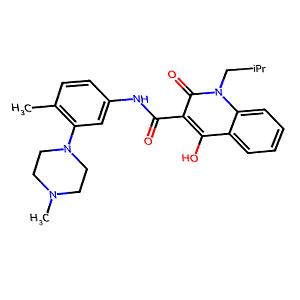 Cc1ccc(NC(=O)c2c(O)c3ccccc3n(CC(C)C)c2=O)cc1N1CCN(C)CC1